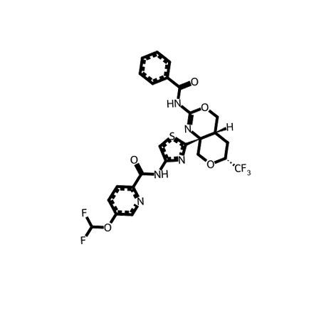 O=C(NC1=N[C@@]2(c3nc(NC(=O)c4ccc(OC(F)F)cn4)cs3)CO[C@@H](C(F)(F)F)C[C@H]2CO1)c1ccccc1